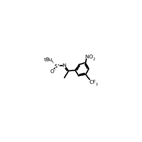 C/C(=N\[S@+]([O-])C(C)(C)C)c1cc([N+](=O)[O-])cc(C(F)(F)F)c1